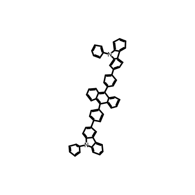 c1ccc(-n2c3ccccc3c3cc(-c4ccc(-c5c6ccccc6c(-c6ccc(-c7ccc8c9ccccc9n(-c9ccccc9)c8c7)cc6)c6ccccc56)cc4)ccc32)cc1